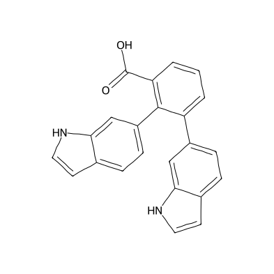 O=C(O)c1cccc(-c2ccc3cc[nH]c3c2)c1-c1ccc2cc[nH]c2c1